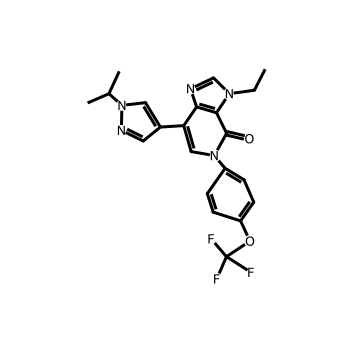 CCn1cnc2c(-c3cnn(C(C)C)c3)cn(-c3ccc(OC(F)(F)F)cc3)c(=O)c21